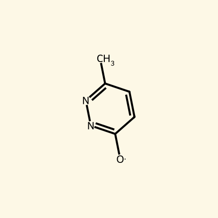 Cc1ccc([O])nn1